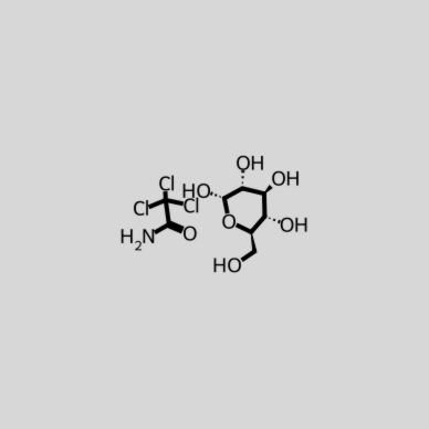 NC(=O)C(Cl)(Cl)Cl.OC[C@H]1O[C@H](O)[C@H](O)[C@@H](O)[C@@H]1O